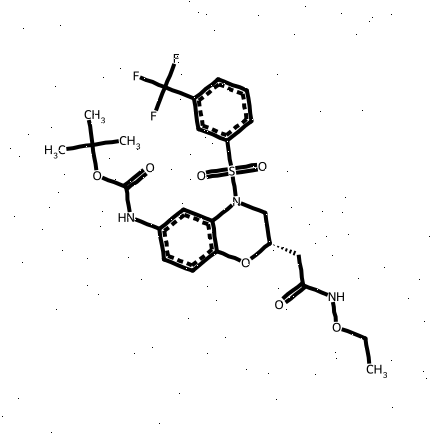 CCONC(=O)C[C@H]1CN(S(=O)(=O)c2cccc(C(F)(F)F)c2)c2cc(NC(=O)OC(C)(C)C)ccc2O1